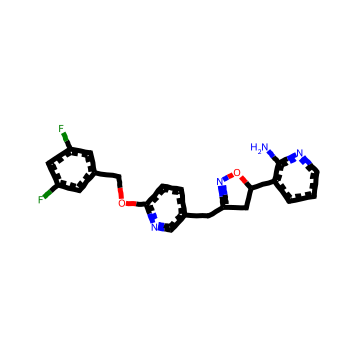 Nc1ncccc1C1CC(Cc2ccc(OCc3cc(F)cc(F)c3)nc2)=NO1